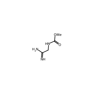 COC(=O)NCC(=N)N